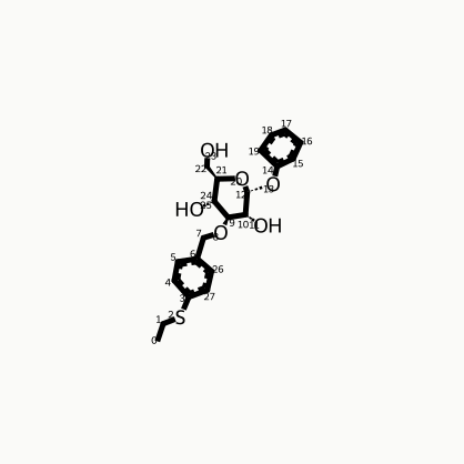 CCSc1ccc(CO[C@@H]2[C@@H](O)[C@@H](Oc3ccccc3)O[C@H](CO)[C@H]2O)cc1